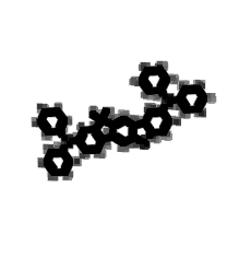 CC1(C)c2cc(N(c3ccccc3)c3ccccc3)ccc2-c2cc3c(cc21)C1C=C(N(c2ccccc2)c2ccccc2)C=CC1S3